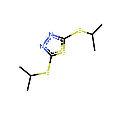 CC(C)Sc1nnc(SC(C)C)s1